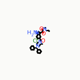 C=CCN(C)C(=O)C(=O)c1cn(N)c2cc(Cl)c(C(=O)N3CCN(C(c4ccccc4)c4ccccc4)CC3C)cc12